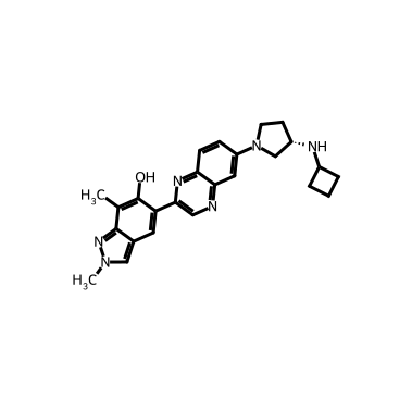 Cc1c(O)c(-c2cnc3cc(N4CC[C@H](NC5CCC5)C4)ccc3n2)cc2cn(C)nc12